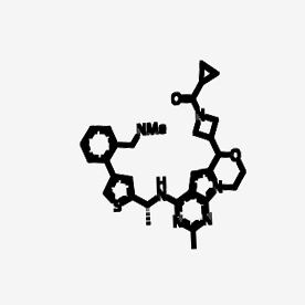 CNCc1ccccc1-c1csc([C@@H](C)Nc2nc(C)nc3c2cc2n3CCOC2C2CN(C(=O)C3CC3)C2)c1